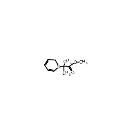 COC(=O)C(C)(C)N1C=CC=CC1